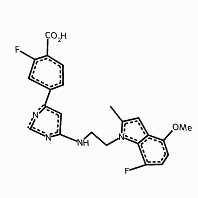 COc1ccc(F)c2c1cc(C)n2CCNc1cc(-c2ccc(C(=O)O)c(F)c2)ncn1